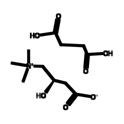 C[N+](C)(C)C[C@H](O)CC(=O)[O-].O=C(O)CCC(=O)O